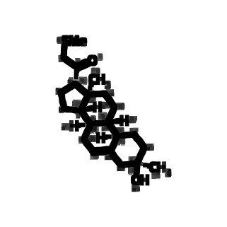 CSCC(=O)[C@H]1CC[C@H]2[C@@H]3CC=C4C[C@](C)(O)CC[C@@H]4[C@H]3CC[C@]12C